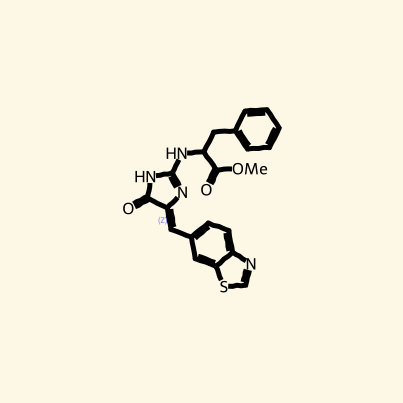 COC(=O)C(Cc1ccccc1)NC1=N/C(=C\c2ccc3ncsc3c2)C(=O)N1